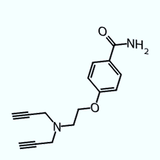 C#CCN(CC#C)CCOc1ccc(C(N)=O)cc1